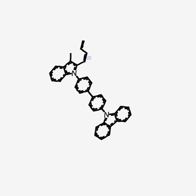 C=C/C=C\c1c(C)c2ccccc2n1-c1ccc(-c2ccc(-n3c4ccccc4c4ccccc43)cc2)cc1